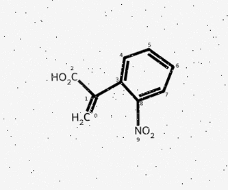 C=C(C(=O)O)c1ccccc1[N+](=O)[O-]